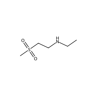 CCNCCS(C)(=O)=O